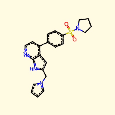 O=S(=O)(c1ccc(-c2ccnc3[nH]c(Cn4cccc4)cc23)cc1)N1CCCC1